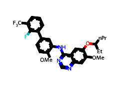 CCCC(CC)Oc1cc2c(Nc3cc(-c4cccc(C(F)(F)F)c4F)ccc3OC)ncnc2cc1OC